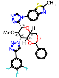 CO[C@@H]1[C@@H](n2cc(-c3cc(F)c(F)c(F)c3)nn2)[C@H]2OC(c3ccccc3)OC[C@H]2O[C@H]1c1nncn1-c1ccc2nc(C)sc2c1